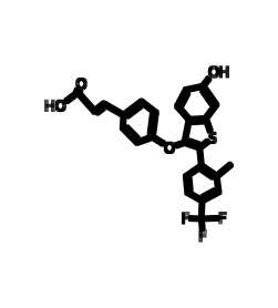 Cc1cc(C(F)(F)F)ccc1-c1sc2cc(O)ccc2c1Oc1ccc(C=CC(=O)O)cc1